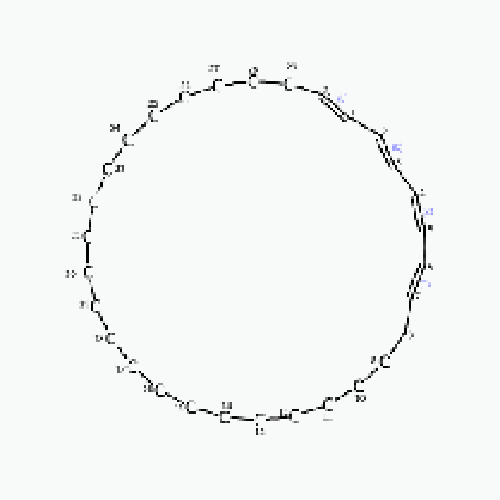 [C]1=C/C=C/C=C\C=C\CCCCCCCCCCCCCCCCCCCCCC/1